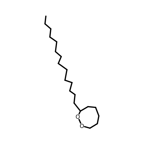 CCCCCCCCCCCCCCC1CCCCCOO1